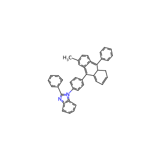 Cc1ccc2c(c1)=C(c1ccc(-n3c(-c4ccccc4)nc4ccccc43)cc1)C1=CC=CCC1C=2c1ccccc1